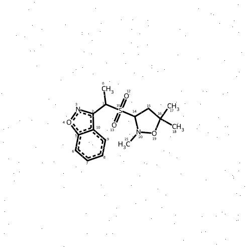 CC(c1noc2ccccc12)S(=O)(=O)C1CC(C)(C)ON1C